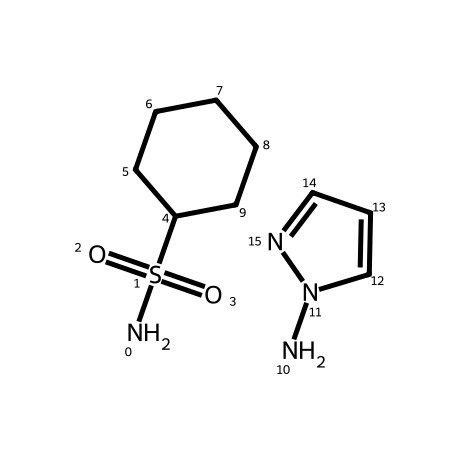 NS(=O)(=O)C1CCCCC1.Nn1cccn1